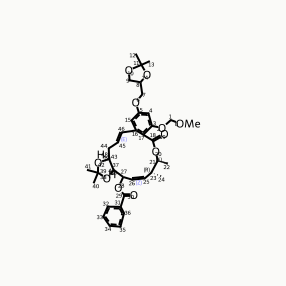 COCOc1cc(OCC2COC(C)(C)O2)cc2c1C(=O)O[C@@H](C)[C@H](C)/C=C\C(OC(=O)c1ccccc1)[C@H]1OC(C)(C)O[C@H]1C/C=C/2